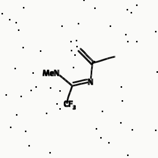 C=C(C)/N=C(\NC)C(F)(F)F